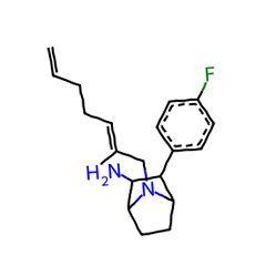 C=CCC/C=C(\C)CN1C2CCC1C(c1ccc(F)cc1)C2N